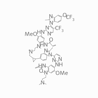 C=CC(=O)Nc1cc(Nc2nccc(-n3c(C)nc4cc(C5CC5CN(C)CCN(C)c5cc(OC)c(Nc6ncc(C(F)(F)F)c(-n7c(C)nc8cc(OC(F)(F)F)ccc87)n6)cc5NC(=O)C=C)ccc43)n2)c(OC)cc1N(C)CCN(C)C